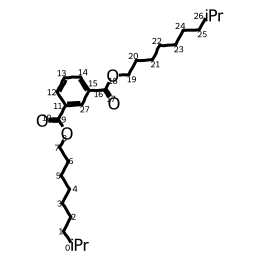 CC(C)CCCCCCCOC(=O)c1cccc(C(=O)OCCCCCCCC(C)C)c1